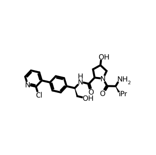 CC(C)[C@H](N)C(=O)N1CC(O)CC1C(=O)N[C@@H](CO)c1ccc(-c2cccnc2Cl)cc1